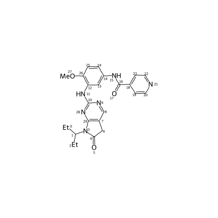 CCC(CC)N1C(=O)Cc2cnc(Nc3cc(NC(=O)c4ccncc4)ccc3OC)nc21